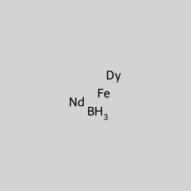 B.[Dy].[Fe].[Nd]